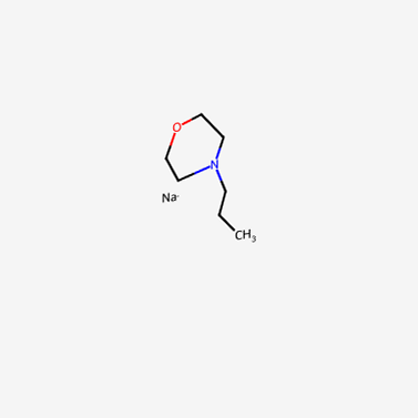 CCCN1CCOCC1.[Na]